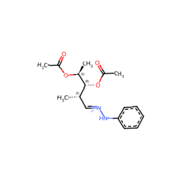 CC(=O)O[C@@H]([C@H](C)OC(C)=O)[C@@H](C)/C=N/Nc1ccccc1